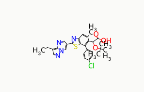 CCc1cnn2cc(-c3nc4cc(C)c(C(OC(C)(C)C)C(=O)O)c(-c5ccc(Cl)cc5)c4s3)cnc12